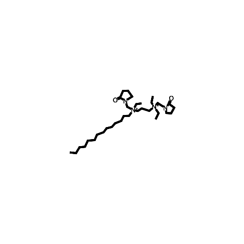 CCCCCCCCCCCCCC[N+](CC)(CCC[N+](CC)(CC)CN1CCCC1=O)CN1CCCC1=O